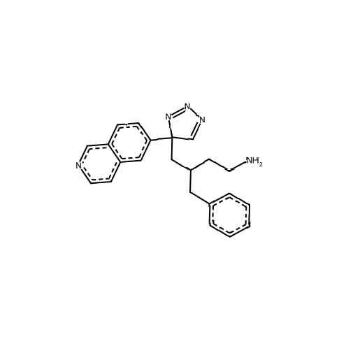 NCCC(Cc1ccccc1)CC1(c2ccc3cnccc3c2)C=NN=N1